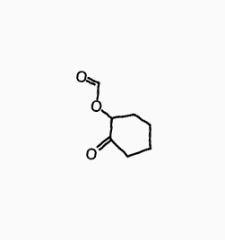 O=COC1CCCCC1=O